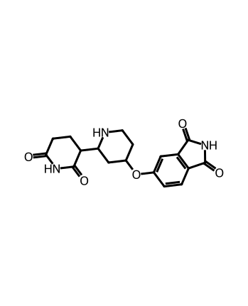 O=C1CCC(C2CC(Oc3ccc4c(c3)C(=O)NC4=O)CCN2)C(=O)N1